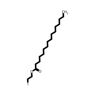 CCCCCCCCCCCCCCCC(=O)OCCI